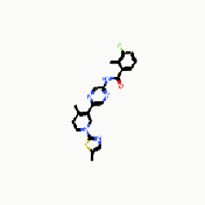 CC1=C(c2cnc(NC(=O)c3cccc(F)c3C)cn2)CN(c2ncc(C)s2)CC1